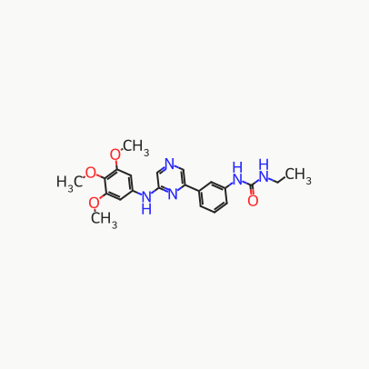 CCNC(=O)Nc1cccc(-c2cncc(Nc3cc(OC)c(OC)c(OC)c3)n2)c1